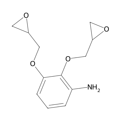 Nc1cccc(OCC2CO2)c1OCC1CO1